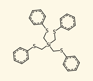 c1ccc(SC[Si](CSc2ccccc2)(CSc2ccccc2)CSc2ccccc2)cc1